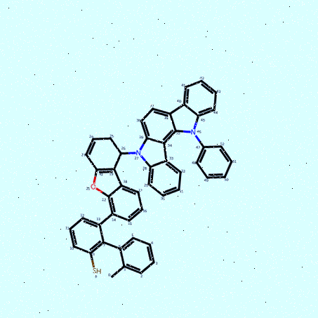 Cc1ccccc1-c1c(S)cccc1-c1cccc2c3c(oc12)C=CCC3n1c2ccccc2c2c3c(ccc21)c1ccccc1n3-c1ccccc1